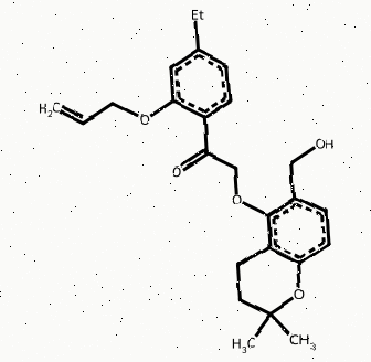 C=CCOc1cc(CC)ccc1C(=O)COc1c(CO)ccc2c1CCC(C)(C)O2